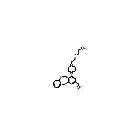 NCc1cc2c(c(N3CCN(CCOCCO)CC3)c1)C=Nc1ccccc1S2